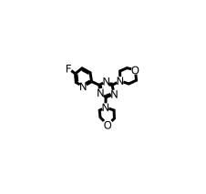 Fc1ccc(-c2nc(N3CCOCC3)nc(N3CCOCC3)n2)nc1